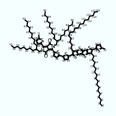 CCCCCCCCCCCCCCCCCc1c(-c2ccc(C)s2)sc2c1sc1c3sc(-c4ccc(-c5ccc(C6=C7C(=O)N(CC(CCCCCCCC)CCCCCCCCCC)C(c8ccc(C)s8)=C7C(=O)N6CC(CCCCCCCC)CCCCCCCCCC)s5)s4)c(CCCCCCCCCCCCCCCCC)c3sc21